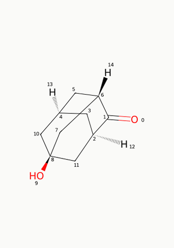 O=C1[C@@H]2C[C@@H]3C[C@H]1C[C@@](O)(C3)C2